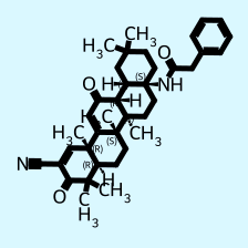 CC1(C)CC[C@]2(NC(=O)Cc3ccccc3)CC[C@]3(C)[C@H](C(=O)C=C4[C@@]5(C)C=C(C#N)C(=O)C(C)(C)[C@@H]5CC[C@]43C)[C@@H]2C1